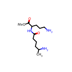 [CH2]OC(=O)C(CCCN)NC(=O)CCCC(C)N